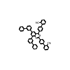 N#Cc1ccccc1-c1ccc(-c2nc(-c3ccc(-c4ccccc4C#N)cc3)c3cc(-c4cccc(-c5ccccc5)c4)cc(-c4cccc(C5=CCCC=C5)c4)c3n2)cc1